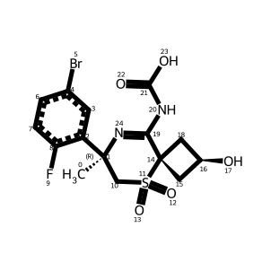 C[C@@]1(c2cc(Br)ccc2F)CS(=O)(=O)[C@]2(C[C@H](O)C2)C(NC(=O)O)=N1